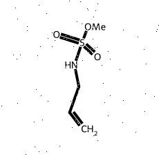 C=CCNS(=O)(=O)OC